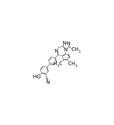 Cc1sc2c(c1C)C(c1ccc(-c3ccc(O)c(C#N)c3)cc1)=NCc1nnc(C)n1-2